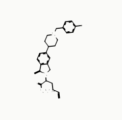 C=CCCC(C(=O)NC)N1Cc2cc(C3CCN(Cc4ccc(C(C)C)cc4)CC3)ccc2C1=C